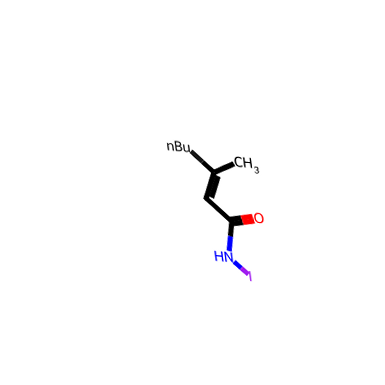 CCCC/C(C)=C/C(=O)NI